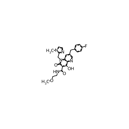 COCCNC(=O)c1c(O)c2ncc(Cc3ccc(F)cc3)cc2n(Cc2nccn2C)c1=O